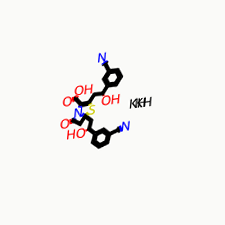 N#Cc1cccc([C@@H](O)CC2=C(C(=O)O)N3C(=O)CC3(C[C@H](O)c3cccc(C#N)c3)S2)c1.[KH].[KH]